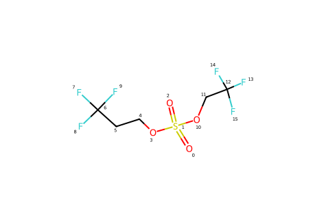 O=S(=O)(OCCC(F)(F)F)OCC(F)(F)F